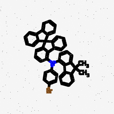 CC1(C)c2ccccc2-c2c(N(c3ccc(Br)cc3)c3cccc4c3-c3ccccc3C43c4ccccc4-c4ccccc43)cccc21